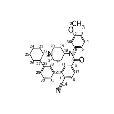 COc1cccc(N(C(=O)c2ccc(C#N)cc2)C2CCN(C3CCCCC3c3ccccc3)CC2)c1